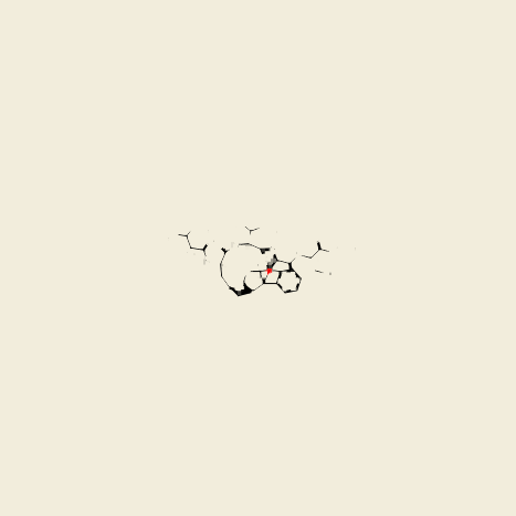 COC(=O)[C@H](CO)NC(=O)c1nc2oc1C13c4ccccc4N[C@H]1Oc1ccc(cc13)C[C@H](NC(=O)[C@@H](O)C(C)C)C(=O)N[C@H]2C(C)C